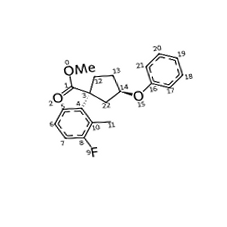 COC(=O)[C@@]1(c2cccc(F)c2C)CC[C@@H](Oc2ccccc2)C1